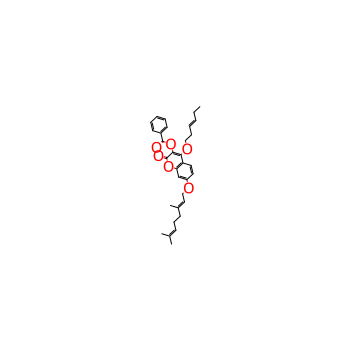 CC/C=C/CCOc1c(OC(=O)c2ccccc2)c(=O)oc2cc(OC/C=C(\C)CCC=C(C)C)ccc12